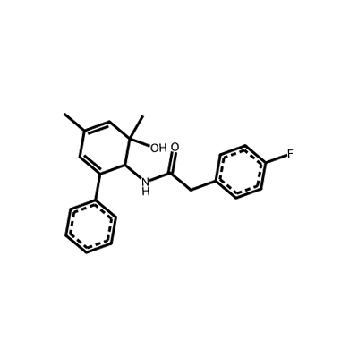 CC1=CC(C)(O)C(NC(=O)Cc2ccc(F)cc2)C(c2ccccc2)=C1